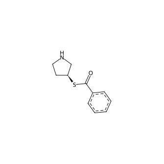 O=C(S[C@H]1CCNC1)c1ccccc1